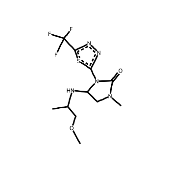 COCC(C)NC1CN(C)C(=O)N1c1nnc(C(F)(F)F)s1